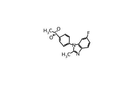 Cc1nc2ccc(F)cc2n1-c1ccc(S(C)(=O)=O)cc1